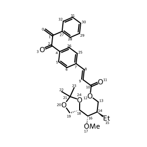 C=C(C(=O)c1ccc(/C=C/C(=O)OC[C@@H](CC)[C@H](OC)[C@@H]2COC(C)(C)O2)cc1)c1ccccc1